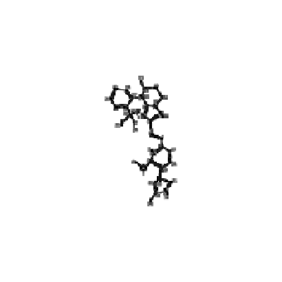 COc1nc(/C=C/c2nc3n(n2)CCC(C)N3c2ccccc2C(F)(F)F)ccc1-n1cnc(C)c1